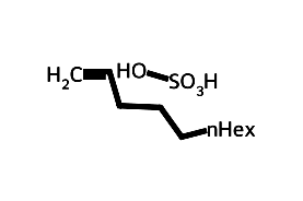 C=CCCCCCCCCC.O=S(=O)(O)O